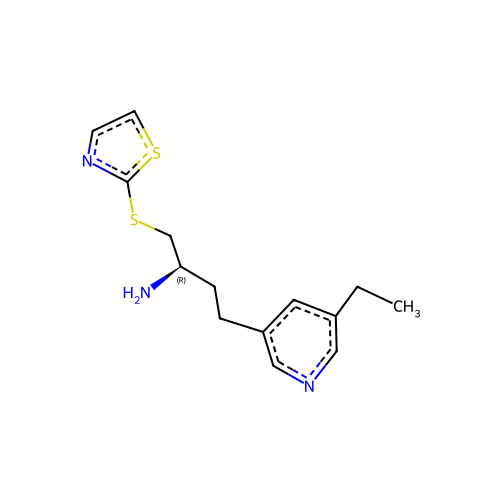 CCc1cncc(CC[C@@H](N)CSc2nccs2)c1